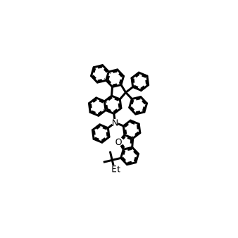 CCC(C)(C)c1cccc2c1oc1c(N(c3ccccc3)c3cc4c(c5ccccc35)-c3c(ccc5ccccc35)C4(c3ccccc3)c3ccccc3)cccc12